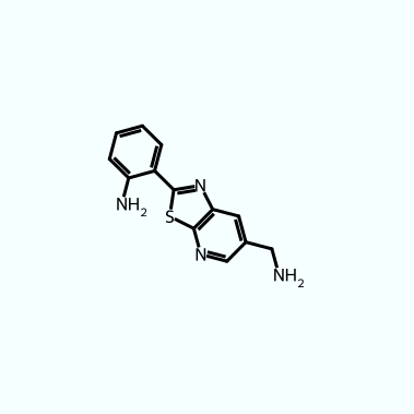 NCc1cnc2sc(-c3ccccc3N)nc2c1